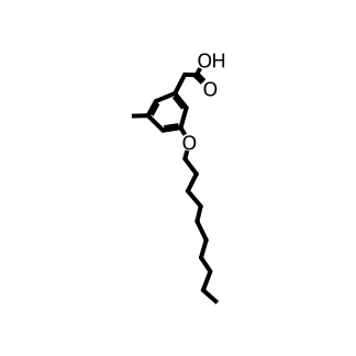 CCCCCCCCCCOc1cc(C)cc(CC(=O)O)c1